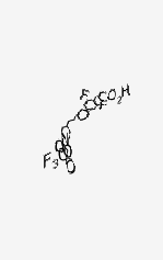 O=C(O)Cc1c(F)cc(OCCCC2CCN(C(=O)OC3(C(F)(F)F)COC3)CC2)cc1F